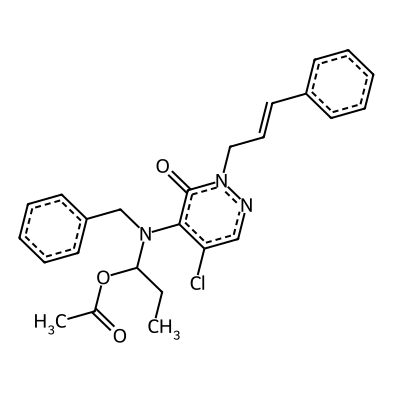 CCC(OC(C)=O)N(Cc1ccccc1)c1c(Cl)cnn(CC=Cc2ccccc2)c1=O